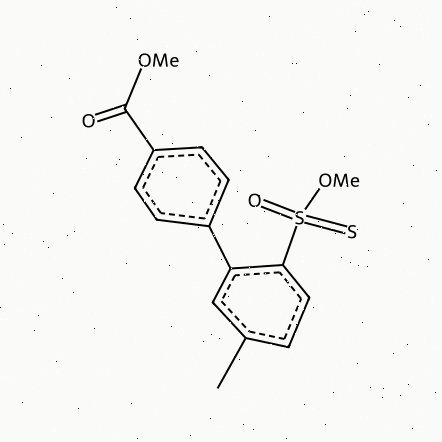 COC(=O)c1ccc(-c2cc(C)ccc2S(=O)(=S)OC)cc1